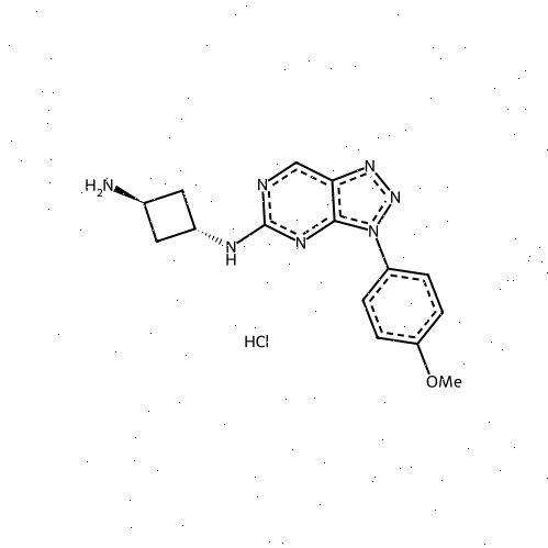 COc1ccc(-n2nnc3cnc(N[C@H]4C[C@H](N)C4)nc32)cc1.Cl